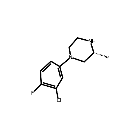 C[C@@H]1CN(c2ccc(F)c(Cl)c2)CCN1